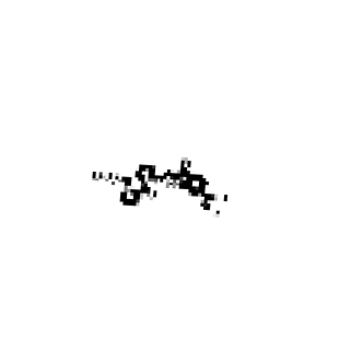 CCOC(=O)CN1CCC[C@@H]1C(=O)N1CCC[C@H]1CCc1[nH]c2cc(C(=N)N)ccc2c1CC